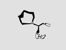 O=CC(Cl)N1CCCC1